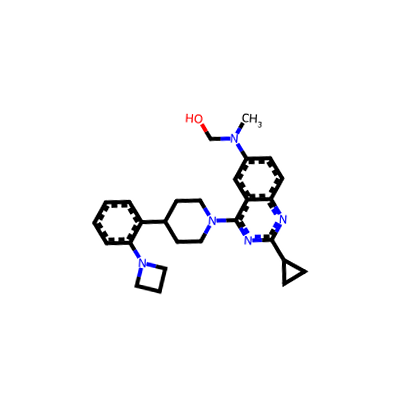 CN(CO)c1ccc2nc(C3CC3)nc(N3CCC(c4ccccc4N4CCC4)CC3)c2c1